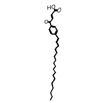 CCCCCCCCCCCCCCCCCCc1ccc(C(=O)C=CC(=O)O)cc1